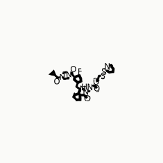 O=C(NCn1nc(Cc2ccc(F)c(C(=O)N3CCN(C(=O)C4CC4)CC3)c2)c2ccccc2c1=O)OCCSSc1ccccn1